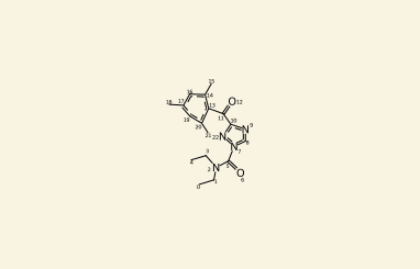 CCN(CC)C(=O)n1cnc(C(=O)c2c(C)cc(C)cc2C)n1